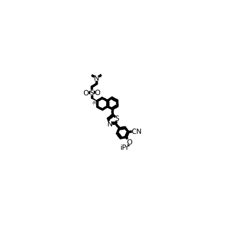 CC(C)Oc1ccc(-c2ncc(-c3cccc4c3CC[C@@H](CS(=O)(=O)CCN(C)C)C4)s2)cc1C#N